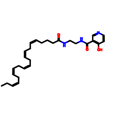 CC/C=C\C/C=C\C/C=C\C/C=C\C/C=C\CCCC(=O)NCCNC(=O)c1cnccc1O